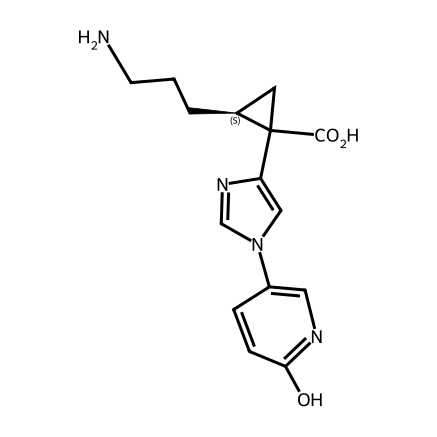 NCCC[C@H]1CC1(C(=O)O)c1cn(-c2ccc(O)nc2)cn1